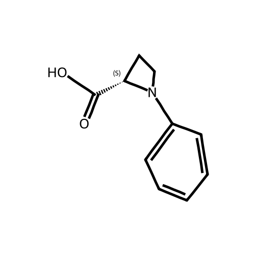 O=C(O)[C@@H]1CCN1c1ccccc1